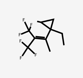 CCC1(C(C)=C(C(F)(F)F)C(F)(F)F)CC1C